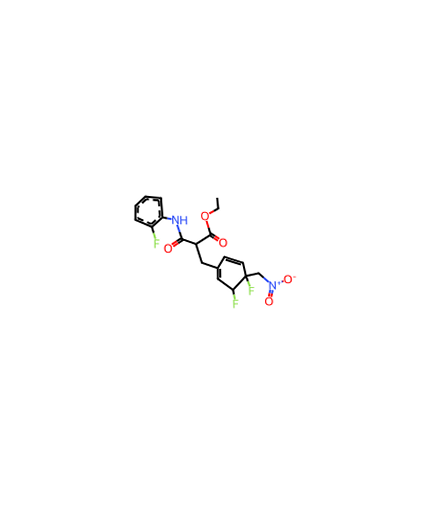 CCOC(=O)C(CC1=CC(F)C(F)(C[N+](=O)[O-])C=C1)C(=O)Nc1ccccc1F